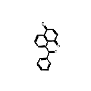 O=C1C=CC(=O)c2c1cccc2C(=O)c1ccccc1